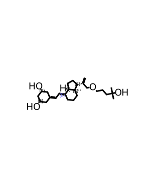 C=C(COCCCC(C)(C)O)[C@H]1CC[C@H]2/C(=C/C=C3C[C@@H](O)C[C@H](O)C3)CCC[C@]12C